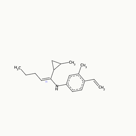 C=Cc1ccc(N/C(=C/CCC)C2CC2C)cc1C